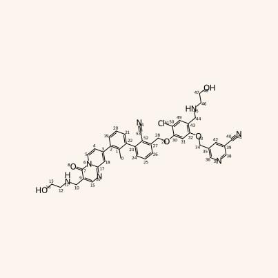 Cc1c(-c2ccn3c(=O)c(CNCCO)cnc3c2)cccc1-c1cccc(COc2cc(OCc3cncc(C#N)c3)c(CNCCO)cc2Cl)c1C#N